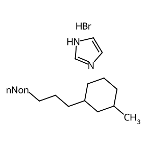 Br.CCCCCCCCCCCCC1CCCC(C)C1.c1c[nH]cn1